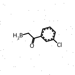 BCC(=O)c1cccc(Cl)c1